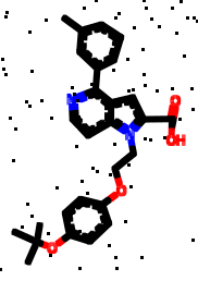 Cc1cccc(-c2nccc3c2cc(C(=O)O)n3CCOc2ccc(OC(C)(C)C)cc2)c1